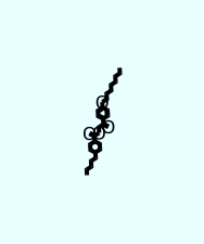 CCCCCCCCOc1ccc(C(=O)COC(=O)C2CCC(CCCCC)CC2)cc1